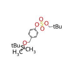 CC(C)(C)COS(=O)(=O)Oc1ccc(CO[Si](C)(C)C(C)(C)C)cc1